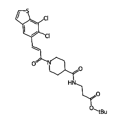 CC(C)(C)OC(=O)CCNC(=O)C1CCN(C(=O)/C=C/c2cc3ccsc3c(Cl)c2Cl)CC1